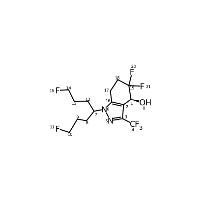 O[C@H]1c2c(C(F)(F)F)nn(C(CCCF)CCCF)c2CCC1(F)F